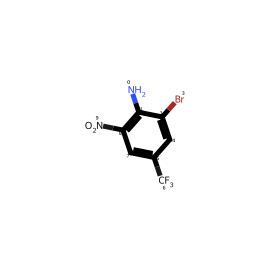 Nc1c(Br)cc(C(F)(F)F)cc1[N+](=O)[O-]